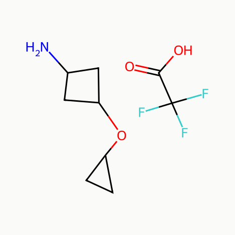 NC1CC(OC2CC2)C1.O=C(O)C(F)(F)F